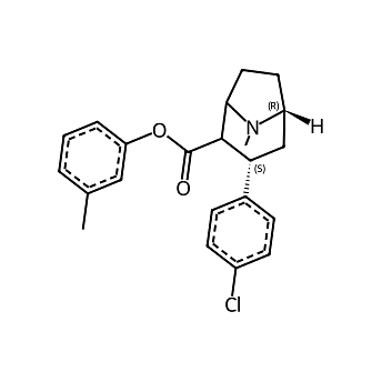 Cc1cccc(OC(=O)C2C3CC[C@H](C[C@@H]2c2ccc(Cl)cc2)N3C)c1